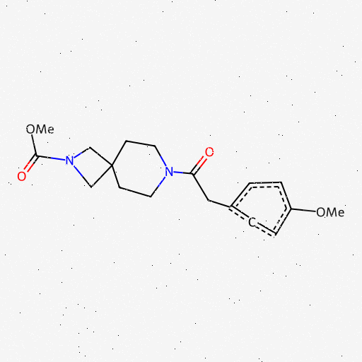 COC(=O)N1CC2(CCN(C(=O)Cc3ccc(OC)cc3)CC2)C1